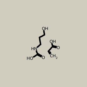 C=CC(=O)O.O=C(O)NCCCO